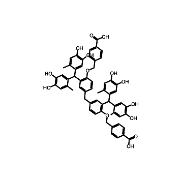 Cc1cc(O)c(O)cc1C(c1cc(O)c(O)cc1C)c1cc(Cc2ccc(OCc3ccc(C(=O)O)cc3)c(C(c3cc(O)c(O)cc3C)c3cc(O)c(O)cc3C)c2)ccc1OCc1ccc(C(=O)O)cc1